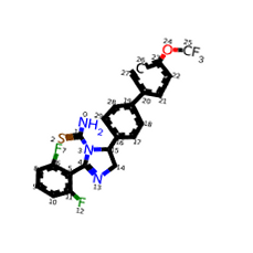 NC(=S)N1C(c2c(F)cccc2F)=NCC1c1ccc(-c2ccc(OC(F)(F)F)cc2)cc1